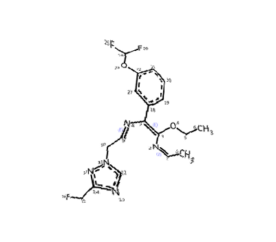 C\C=N/C(OCC)=C(\N=C\Cn1cnc(CF)n1)c1cccc(OC(F)F)c1